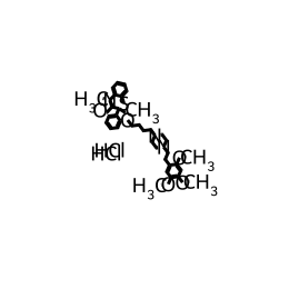 CCC1(c2ccccc2OCCCCN2CCN(CCc3cc(OC)c(OC)cc3OC)CC2)Sc2ccccc2N(C)C1C=O.Cl.Cl